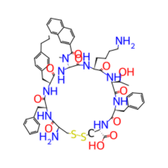 CCCc1ccc(C[C@@H]2NC(=O)[C@H](Cc3ccccc3)NC(=O)[C@H](N)CSSC[C@@H](C(=O)O)NC(=O)[C@H](Cc3ccccc3)NC(=O)[C@H](C(C)O)NC(=O)[C@H](CCCCN)NC(=O)[C@@H](N(C)C(=O)c3ccc4ccccc4c3)NC2=O)cc1